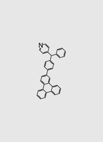 c1ccc(C(c2ccncc2)c2ccc(-c3ccc4c5ccccc5c5ccccc5c4c3)cc2)cc1